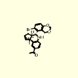 CC(=O)c1ccc2c(c1)[C@@H]1C=CC[C@@H]1[C@H](c1c(Br)ccc3c1COCO3)N2